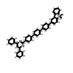 C[Si]1(C)c2ccccc2-c2cc(-c3ccc(-c4ccc(-c5ccc(-c6nc(-c7ccccc7)cc(-c7ccccc7)n6)cc5)cc4)cc3)ccc21